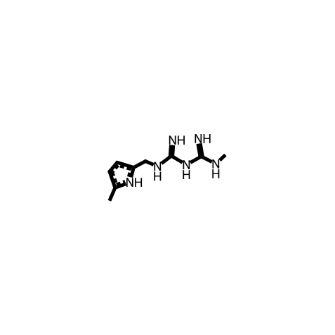 CNC(=N)NC(=N)NCc1ccc(C)[nH]1